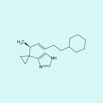 C[C@@H](/C=C/CCC1CCCCC1)C1(c2c[nH]cn2)CC1